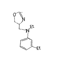 CCc1cccc(N(CC)CC2CO[C]=N2)c1